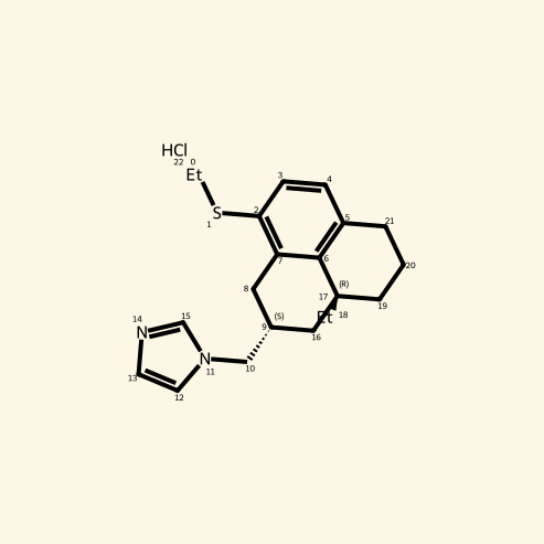 CCSc1ccc2c3c1C[C@@H](Cn1ccnc1)C[C@@]3(CC)CCC2.Cl